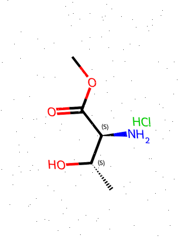 COC(=O)[C@@H](N)[C@H](C)O.Cl